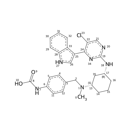 CN(Cc1ccc(NC(=O)O)cc1)[C@H]1CCC[C@@H](Nc2ncc(Cl)c(-c3c[nH]c4ccccc34)n2)C1